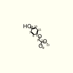 COC(COc1ccc(O)cc1)OC